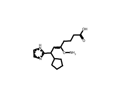 NOC(=CC(c1ncc[nH]1)C1CCCC1)CCCC(=O)O